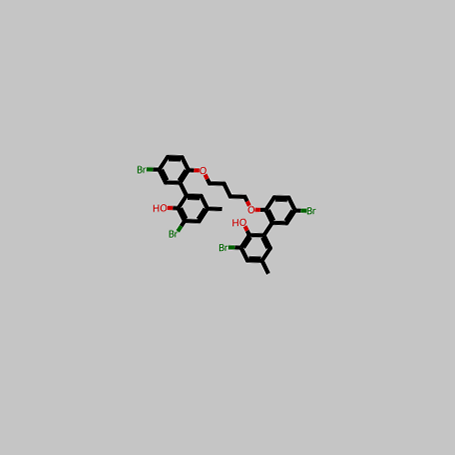 Cc1cc(Br)c(O)c(-c2cc(Br)ccc2OCCCCOc2ccc(Br)cc2-c2cc(C)cc(Br)c2O)c1